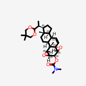 CC(C1OCC(C)(C)CO1)[C@H]1CC[C@H]2[C@@H]3C=C[C@@]45O[C@@H]4[C@@H](OC(=O)N(C)C)[C@@H]4O[C@@H]4[C@]5(C)[C@H]3CC[C@]12C